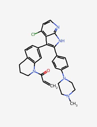 C=CC(=O)N1CCCc2ccc(-c3c(-c4ccc(N5CCN(C)CC5)cc4)[nH]c4nccc(Cl)c34)cc21